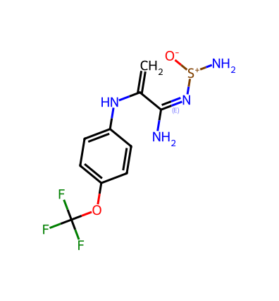 C=C(Nc1ccc(OC(F)(F)F)cc1)/C(N)=N\[S+](N)[O-]